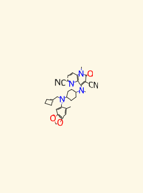 Cc1cc2c(cc1N(CC1CCC1)C1CCC(N(C)c3c(C#N)c(=O)n(C)c4ccc(C#N)nc34)CC1)OCO2